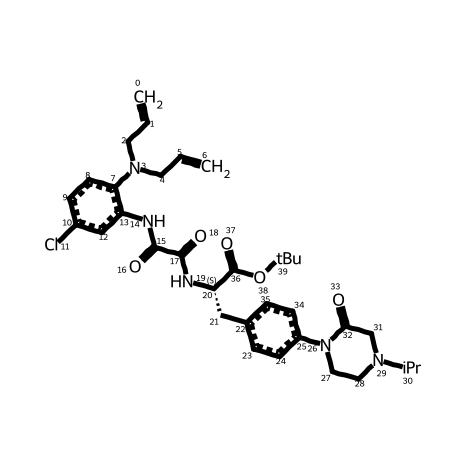 C=CCN(CC=C)c1ccc(Cl)cc1NC(=O)C(=O)N[C@@H](Cc1ccc(N2CCN(C(C)C)CC2=O)cc1)C(=O)OC(C)(C)C